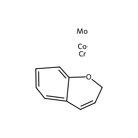 C1=Cc2ccccc2OC1.[Co].[Cr].[Mo]